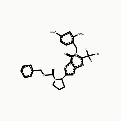 COc1ccc(Cn2c(C(C)(F)F)nc3sc([C@H]4CCCN4C(=O)OCc4ccccc4)nc3c2=O)c(OC)c1